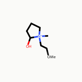 COCC[N+]1(C)CCCC1O